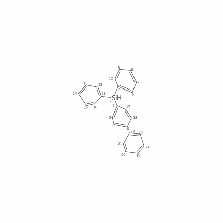 c1ccc([SiH](c2ccccc2)c2ccccc2)cc1.c1ccccc1